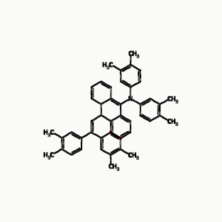 Cc1ccc(C(=CC2c3ccccc3C(N(c3ccc(C)c(C)c3)c3ccc(C)c(C)c3)=C3C=CC=CC32)c2ccc(C)c(C)c2)cc1C